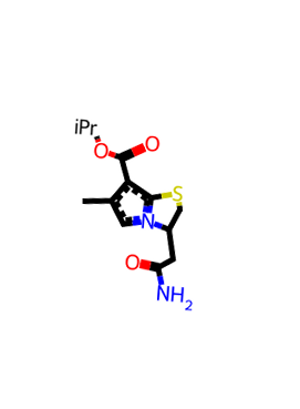 Cc1cn2c(c1C(=O)OC(C)C)SCC2CC(N)=O